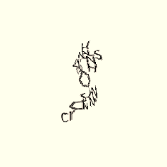 Cn1cnc(-c2ccc([C@H]3C[C@@H]3c3n[nH]c(=S)[nH]3)cc2)c1Sc1ccc(Cl)cn1